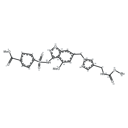 COC(=O)c1ccc(S(=O)(=O)Nc2noc3cc(Cn4cc(CNC(=O)OC(C)(C)C)cn4)cc(OC)c23)cc1